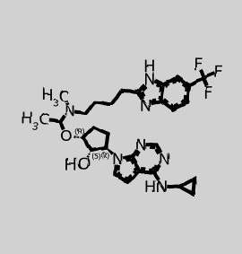 CC(O[C@@H]1CC[C@@H](n2ccc3c(NC4CC4)ncnc32)[C@@H]1O)N(C)CCCCc1nc2ccc(C(F)(F)F)cc2[nH]1